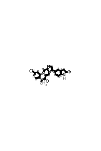 CN(C(=O)c1cn2c(-c3ccc4c(c3)CC(=O)N4)cnc2cn1)c1ccc(Cl)nc1